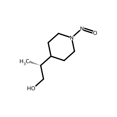 C[C@@H](CO)C1CCN(N=O)CC1